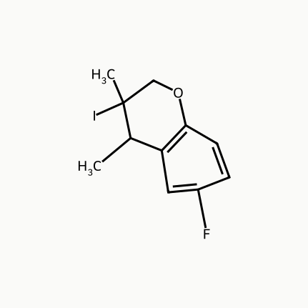 CC1c2cc(F)ccc2OCC1(C)I